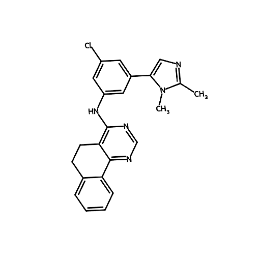 Cc1ncc(-c2cc(Cl)cc(Nc3ncnc4c3CCc3ccccc3-4)c2)n1C